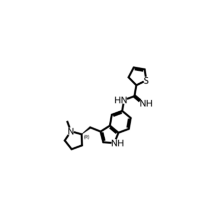 CN1CCC[C@@H]1Cc1c[nH]c2ccc(NC(=N)C3CC=CS3)cc12